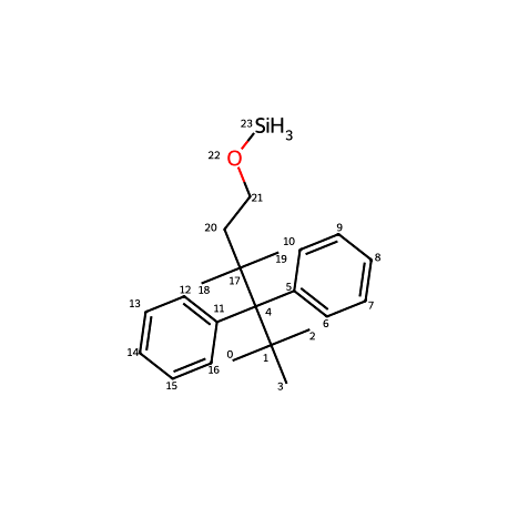 CC(C)(C)C(c1ccccc1)(c1ccccc1)C(C)(C)CCO[SiH3]